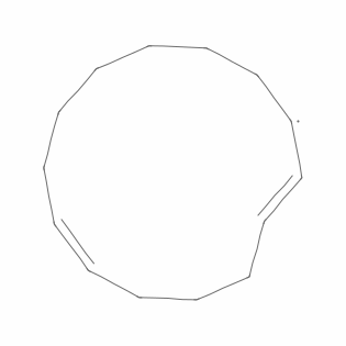 [CH]1/C=C/CCC/C=C\CCCCCC1